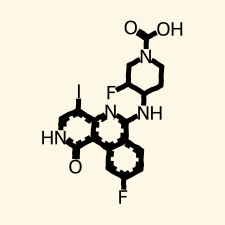 O=C(O)N1CCC(Nc2nc3c(I)c[nH]c(=O)c3c3cc(F)ccc23)C(F)C1